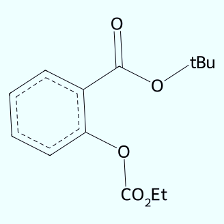 CCOC(=O)Oc1ccccc1C(=O)OC(C)(C)C